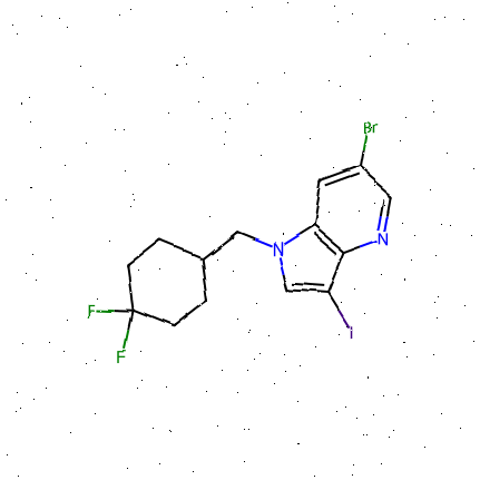 FC1(F)CCC(Cn2cc(I)c3ncc(Br)cc32)CC1